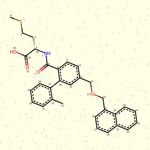 CSCC[C@H](NC(=O)c1ccc(COCc2cccc3ccccc23)cc1-c1ccccc1C)C(=O)O